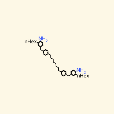 CCCCCCc1cc(Cc2ccc(CCCCCCCCc3ccc(Cc4ccc(N)c(CCCCCC)c4)cc3)cc2)ccc1N